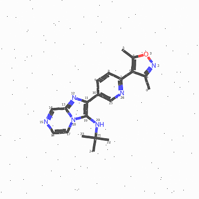 Cc1noc(C)c1-c1ccc(-c2nc3cnccn3c2NC(C)(C)C)cn1